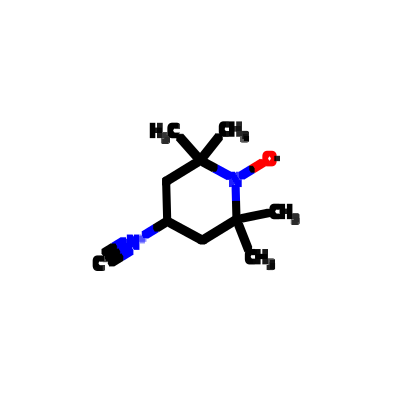 [C-]#[N+]C1CC(C)(C)N([O])C(C)(C)C1